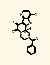 O=C1C(=O)N2CCN(C(=O)c3ccccc3)C[C@H]2c2[nH]c3c(Cl)ccnc3c21